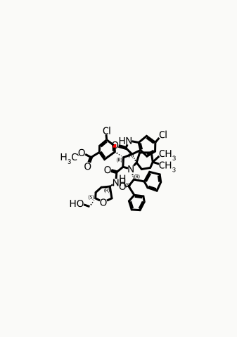 COC(=O)c1cc(Cl)cc([C@H]2C(C(=O)N[C@@H]3CC[C@@H](CO)OC3)N([C@H](c3ccccc3)[C@@H](O)c3ccccc3)C3(CCC(C)(C)CC3)[C@@]23C(=O)Nc2cc(Cl)ccc23)c1